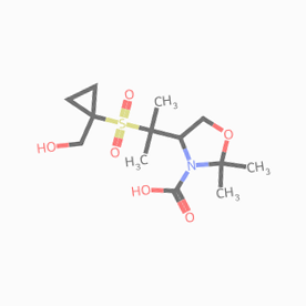 CC1(C)OCC(C(C)(C)S(=O)(=O)C2(CO)CC2)N1C(=O)O